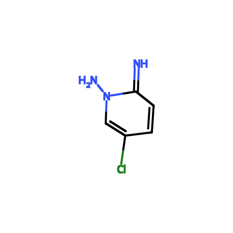 N=c1ccc(Cl)cn1N